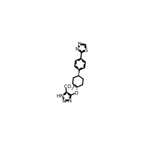 O=C(O)c1[nH]nnc1O[C@H]1CC[C@H](c2ccc(-c3nncs3)cc2)CC1